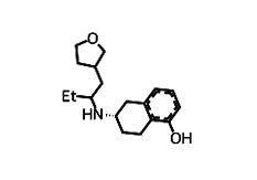 CCC(CC1CCOC1)N[C@H]1CCc2c(O)cccc2C1